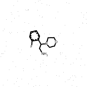 NCC(c1ccccc1F)N1CCOCC1